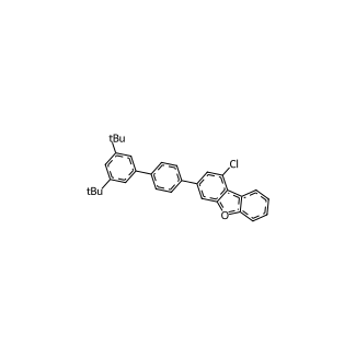 CC(C)(C)c1cc(-c2ccc(-c3cc(Cl)c4c(c3)oc3ccccc34)cc2)cc(C(C)(C)C)c1